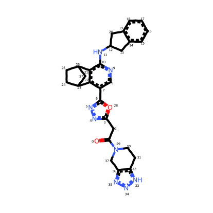 O=C(Cc1nnc(-c2cnc(NC3Cc4ccccc4C3)c3c2C2CCC3C2)o1)N1CCc2[nH]nnc2C1